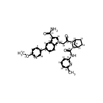 COc1ccc(-c2ccc3c(c2)c(C(N)=O)cn3CC(=O)N2C3CCC(C3)[C@H]2C(=O)Nc2cccc(C)n2)cn1